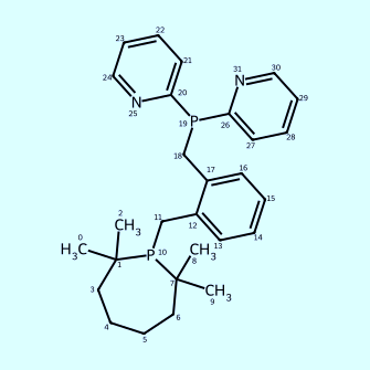 CC1(C)CCCCC(C)(C)P1Cc1ccccc1CP(c1ccccn1)c1ccccn1